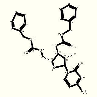 Nc1ccn(C2S[C@H](COC(=O)OCc3ccccc3)[C@@H](OC(=O)OCc3ccccc3)[C@@H]2F)c(=O)n1